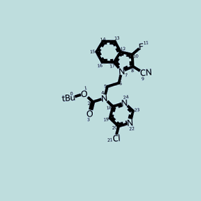 CC(C)(C)OC(=O)N(CCn1c(C#N)c(F)c2ccccc21)c1cc(Cl)ncn1